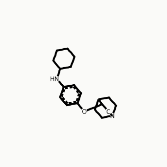 c1cc(OC2CN3CCC2CC3)ccc1NC1CCCCC1